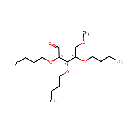 CCCCO[C@H]([C@H](C=O)OCCCC)[C@@H](COC)OCCCC